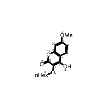 CCCCCCOc1c(O)c2ccc(OC)cc2oc1=O